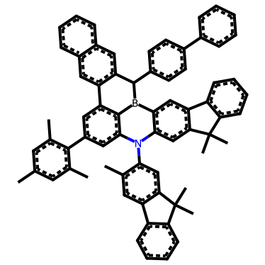 Cc1cc(C)c(-c2cc3c4c(c2)N(c2cc5c(cc2C)-c2ccccc2C5(C)C)c2cc5c(cc2B4C(c2ccc(-c4ccccc4)cc2)c2cc4ccccc4cc2-3)-c2ccccc2C5(C)C)c(C)c1